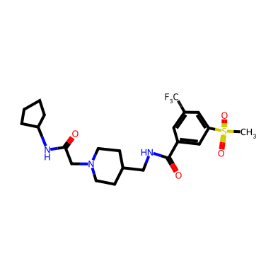 CS(=O)(=O)c1cc(C(=O)NCC2CCN(CC(=O)NC3CCCC3)CC2)cc(C(F)(F)F)c1